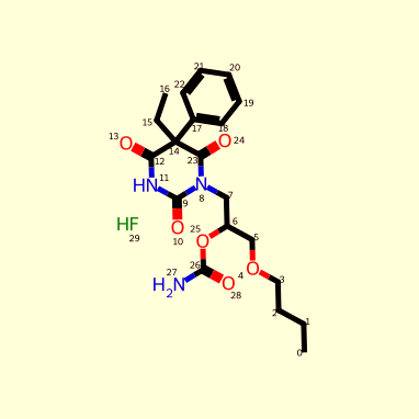 CCCCOCC(CN1C(=O)NC(=O)C(CC)(c2ccccc2)C1=O)OC(N)=O.F